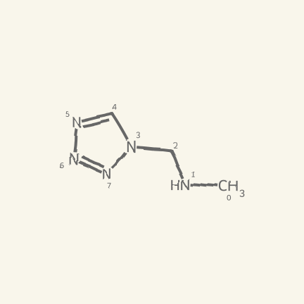 CNCn1cnnn1